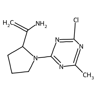 C=C(N)C1CCCN1c1nc(C)nc(Cl)n1